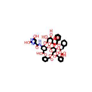 CC1OC(OC2C(NC(=O)c3cc(O)nc(O)n3)CC(C(=O)O)CC2OC2OC(COC(=O)c3ccccc3)C(OC(=O)c3ccccc3)C(O[C@@H](CC3CCCCC3)OC(=O)O)C2OC(=O)c2ccccc2)C(O)C(O)C1O